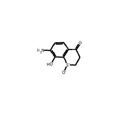 Nc1ccc2c(c1O)[S+]([O-])CCC2=O